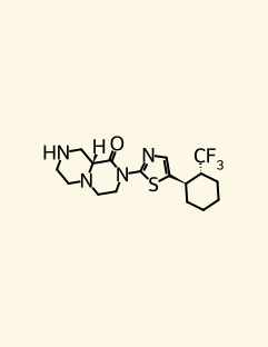 O=C1[C@H]2CNCCN2CCN1c1ncc([C@@H]2CCCC[C@H]2C(F)(F)F)s1